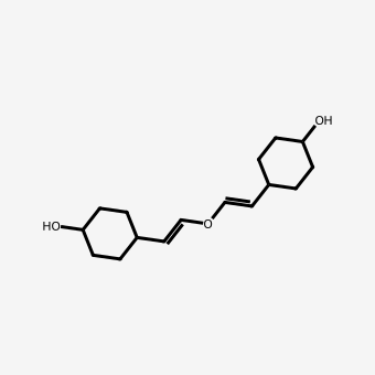 OC1CCC(C=COC=CC2CCC(O)CC2)CC1